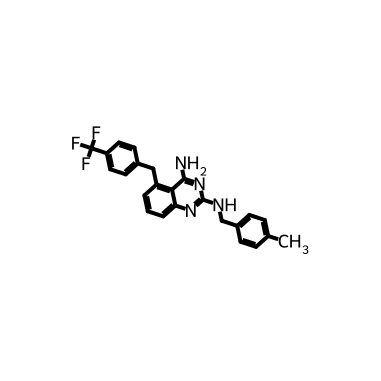 Cc1ccc(CNc2nc(N)c3c(Cc4ccc(C(F)(F)F)cc4)cccc3n2)cc1